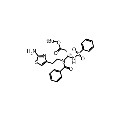 CC(C)(C)OC(=O)C[C@H](NS(=O)(=O)c1ccccc1)N(CCc1csc(N)n1)C(=O)c1ccccc1